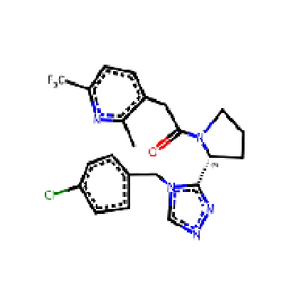 Cc1nc(C(F)(F)F)ccc1CC(=O)N1CCC[C@@H]1c1nncn1Cc1ccc(Cl)cc1